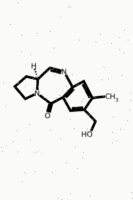 Cc1cc2c(cc1CO)C(=O)N1CCC[C@H]1C=N2